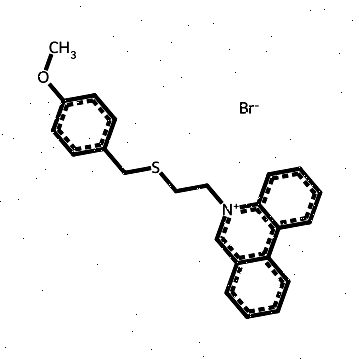 COc1ccc(CSCC[n+]2cc3ccccc3c3ccccc32)cc1.[Br-]